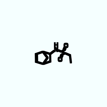 CCS(=O)(=O)NC1CC2C=CC1C2